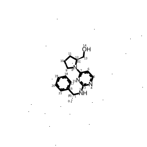 C[C@@H](Nc1nccc(N2CCC[C@H]2CO)n1)c1ccccc1